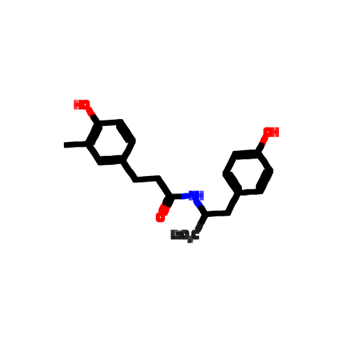 CCOC(=O)C(Cc1ccc(O)cc1)NC(=O)CCc1ccc(O)c(C)c1